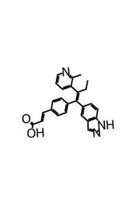 CC/C(=C(/c1ccc(/C=C/C(=O)O)cc1)c1ccc2[nH]ncc2c1)c1cccnc1C